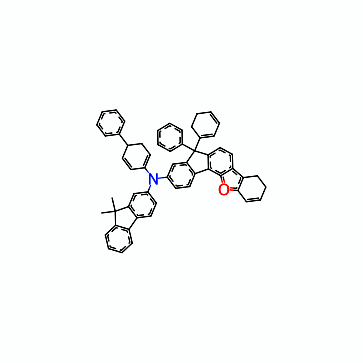 CC1(C)c2ccccc2-c2ccc(N(C3=CCC(c4ccccc4)C=C3)c3ccc4c(c3)C(C3=CC=CCC3)(c3ccccc3)c3ccc5c6c(oc5c3-4)C=CCC6)cc21